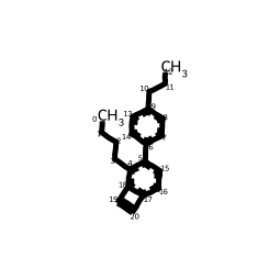 CCCCc1c(-c2ccc(CCC)cc2)c[c]c2c1C#C2